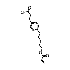 C=CC(=O)OCCCCCc1ccc(CCC(=O)Cl)cc1